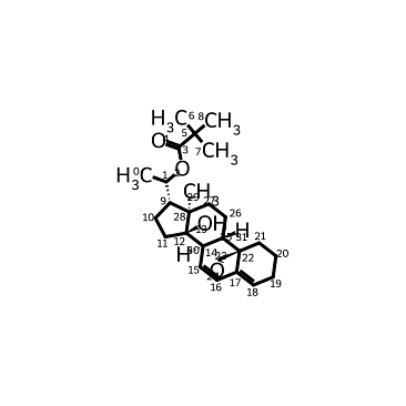 CC(OC(=O)C(C)(C)C)[C@H]1CC[C@@]2(O)[C@@H]3C=CC4=CCCC[C@@]4(C=O)[C@H]3CC[C@]12C